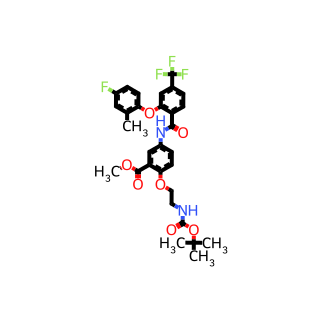 COC(=O)c1cc(NC(=O)c2ccc(C(F)(F)F)cc2Oc2ccc(F)cc2C)ccc1OCCNC(=O)OC(C)(C)C